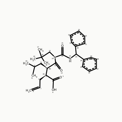 C=CC[C@H](C(=O)O)[C@@H](CC(C)C)C(=O)N(CC(C)(C)C)C(=O)NC(c1ccccc1)c1ccccc1